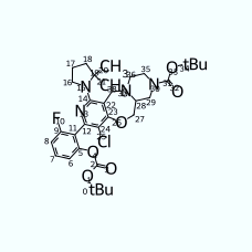 CC(C)(C)OC(=O)Oc1cccc(F)c1-c1nc(N2CCCC2(C)C)c2c(c1Cl)OCC1CN(C(=O)OC(C)(C)C)CCN1C2